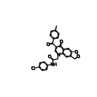 Cc1ccc(C(=O)c2cn(CC(=O)Nc3ccc(Cl)cc3)c3cc4c(cc3c2=O)OOC4)cc1